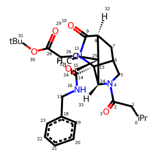 CC(C)CC(=O)N1CC2C[C@@H]3C(=O)N(C)[C@]2(C(=O)NCc2ccccc2)[C@@H]1[C@@H]3CCC(=O)OC(C)(C)C